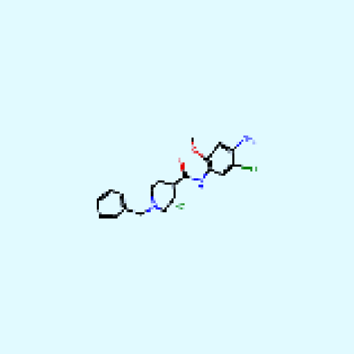 COc1cc(N)c(Cl)cc1NC(=O)C1CCN(Cc2ccccc2)CC1.Cl